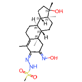 CC1=C2CC[C@@H]3[C@H](CC[C@@]4(C)[C@H]3CC[C@]4(C)O)[C@@]2(C)CC(=NO)C1=NNS(C)(=O)=O